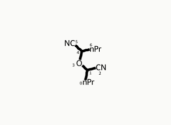 CCCC(C#N)OC(C#N)CCC